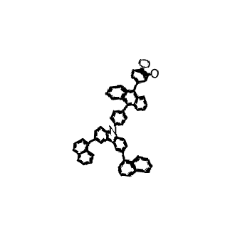 O=C1C(=O)C2C=CC1C=C2c1c2ccccc2c(-c2ccc(-n3c4ccc(-c5cccc6ccccc56)cc4c4cc(-c5cccc6ccccc56)ccc43)cc2)c2ccccc12